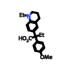 CCN1CCCc2cc(C(CC)(C(=O)O)c3ccc(OC)cc3)ccc21